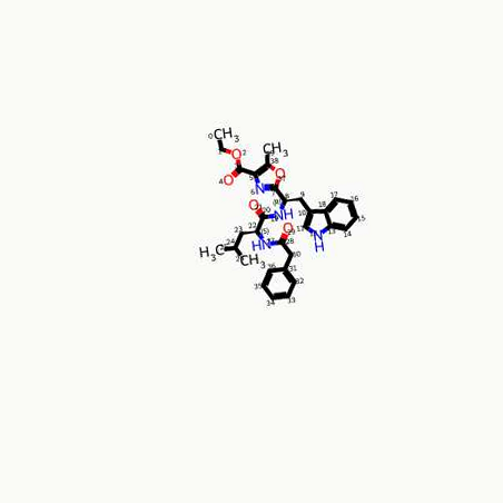 CCOC(=O)c1nc([C@@H](Cc2c[nH]c3ccccc23)NC(=O)[C@H](CC(C)C)NC(=O)Cc2ccccc2)oc1C